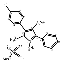 COS(=O)(=O)[O-].COc1c(-c2ccc(Cl)cc2)n(C)[n+](C)c1-c1ccccc1